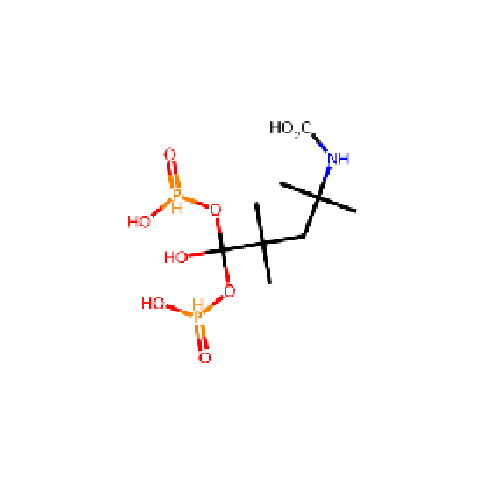 CC(C)(CC(C)(C)C(O)(O[PH](=O)O)O[PH](=O)O)NC(=O)O